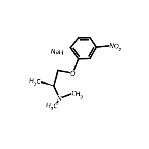 C[C@@H](COc1cccc([N+](=O)[O-])c1)N(C)C.[NaH]